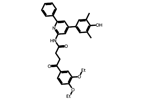 CCOc1ccc(C(=O)CCC(=O)Nc2cc(-c3cc(C)c(O)c(C)c3)cc(-c3ccccc3)n2)cc1OCC